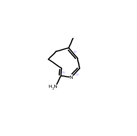 C/C1=C/C=N\C(N)=C\CC1